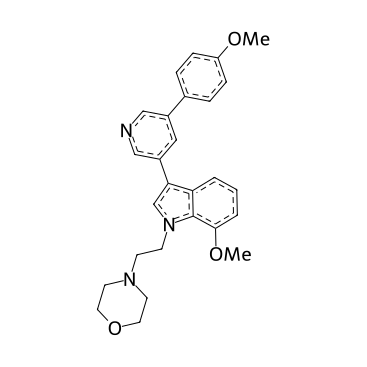 COc1ccc(-c2cncc(-c3cn(CCN4CCOCC4)c4c(OC)cccc34)c2)cc1